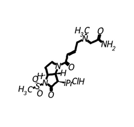 CC(C)[C@H]1C(=O)N(S(C)(=O)=O)[C@H]2CCN(C(=O)/C=C/CN(C)CC(N)=O)[C@H]12.Cl